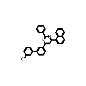 Clc1cccc(-c2cccc(-c3cc(-c4cccc5ccccc45)nc(-c4ccccc4)n3)c2)c1